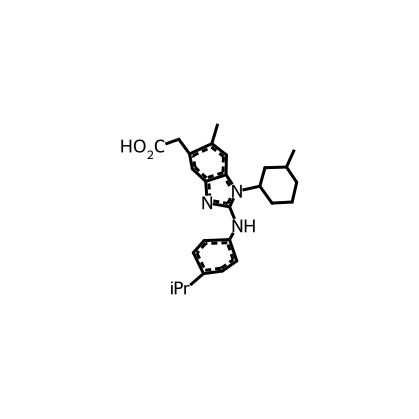 Cc1cc2c(cc1CC(=O)O)nc(Nc1ccc(C(C)C)cc1)n2C1CCCC(C)C1